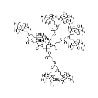 CC(C)(C)[Si](C)(C)CCN(CC[Si](C)(C)C(C)(C)C)CC(=O)SCCC(=O)OCC(COC(=O)CCSC(=O)CN(CC[Si](C)(C)C(C)(C)C)CC[Si](C)(C)C(C)(C)C)(COC(=O)CCSC(=O)CN(CC[Si](C)(C)C(C)(C)C)CC[Si](C)(C)C(C)(C)C)COC(=O)CCSC(=O)CN(CC[Si](C)(C)C(C)(C)C)CC[Si](C)(C)C(C)(C)C